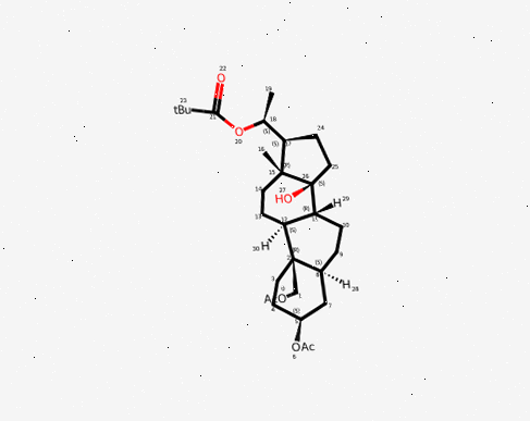 CC(=O)OC[C@]12CC[C@H](OC(C)=O)C[C@@H]1CC[C@@H]1[C@@H]2CC[C@]2(C)[C@@H]([C@H](C)OC(=O)C(C)(C)C)CC[C@]12O